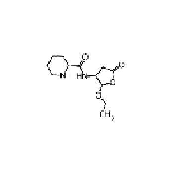 CCO[C@@H]1OC(=O)C[C@@H]1NC(=O)[C@@H]1CCCCN1